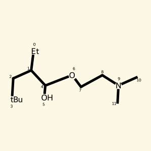 CCC(CC(C)(C)C)C(O)OCCN(C)C